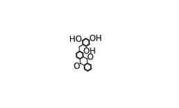 O=C1c2ccccc2C(=O)c2cc(Cc3c(O)cc(O)cc3O)ccc21